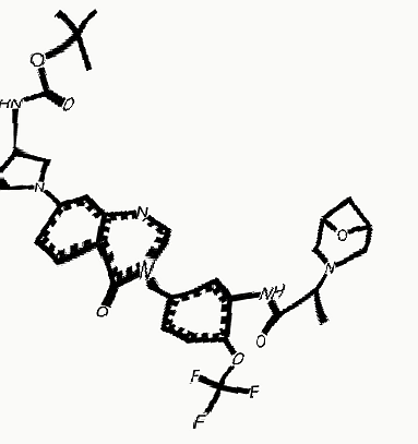 CC(C(=O)Nc1cc(-n2cnc3cc(N4CC[C@@H](NC(=O)OC(C)(C)C)C4)ccc3c2=O)ccc1OC(F)(F)F)N1CC2CC(C1)O2